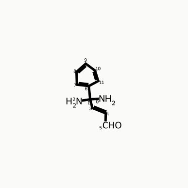 NC(N)(/C=C/C=O)c1ccccc1